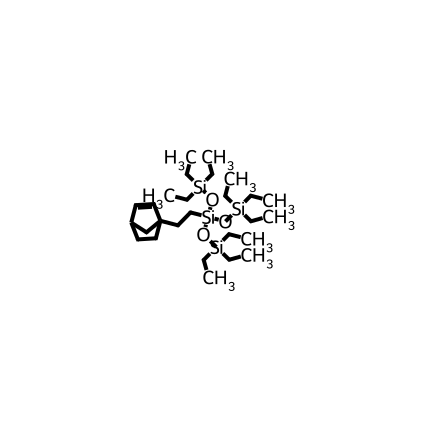 CC[Si](CC)(CC)O[Si](CCC12C=CC(CC1)C2)(O[Si](CC)(CC)CC)O[Si](CC)(CC)CC